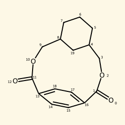 O=C1OCC2CCCC(COC(=O)c3ccc1cc3)C2